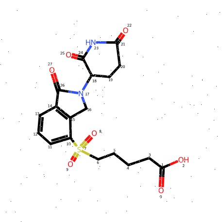 O=C(O)CCCCS(=O)(=O)c1cccc2c1CN(C1CCC(=O)NC1=O)C2=O